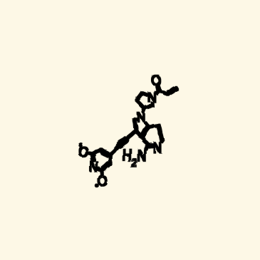 C=CC(=O)N1CCC(n2cc(C#Cc3cc(OC)nc(OC)c3)c3c(N)nccc32)C1